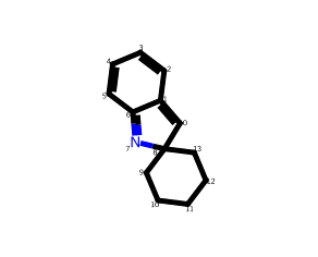 C1=c2ccccc2=NC12CCCCC2